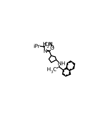 C=C(/N=C(\ON)C1CCC(N[C@H](C)c2cccc3ccccc23)C1)C(C)C